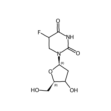 O=C1NC(=O)N([C@H]2CC(O)[C@@H](CO)O2)CC1F